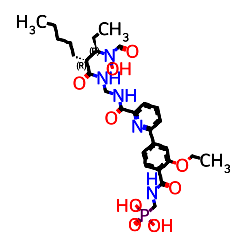 CCCCC[C@@H](C(=O)NCNC(=O)c1cccc(-c2ccc(C(=O)NCP(=O)(O)O)c(OCC)c2)n1)[C@@H](CC)N(O)C=O